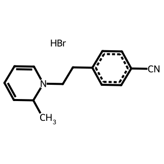 Br.CC1C=CC=CN1CCc1ccc(C#N)cc1